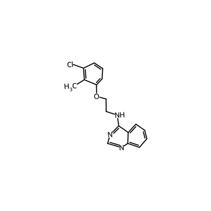 Cc1c(Cl)cccc1OCCNc1ncnc2ccccc12